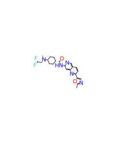 Cc1ncc(-c2ccc3cnc(NC(=O)[C@H]4CC[C@H](N(C)CC(F)F)CC4)cc3n2)o1